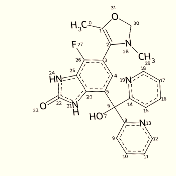 CC1=C(c2cc(C(O)(c3ccccn3)c3ccccn3)c3[nH]c(=O)[nH]c3c2F)N(C)CO1